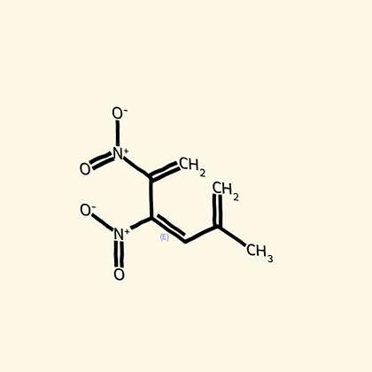 C=C(C)/C=C(\C(=C)[N+](=O)[O-])[N+](=O)[O-]